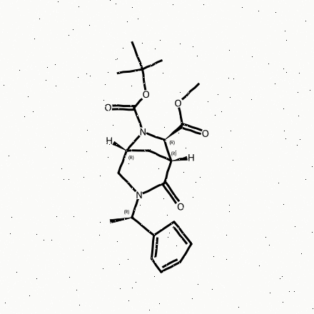 COC(=O)[C@H]1[C@H]2C[C@H](CN([C@H](C)c3ccccc3)C2=O)N1C(=O)OC(C)(C)C